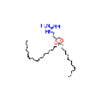 CCC/C=C\CCCCCCCCC1(CCCCCCCC/C=C\C/C=C\CCCCC)OCC(CCNC(=N)N)O1